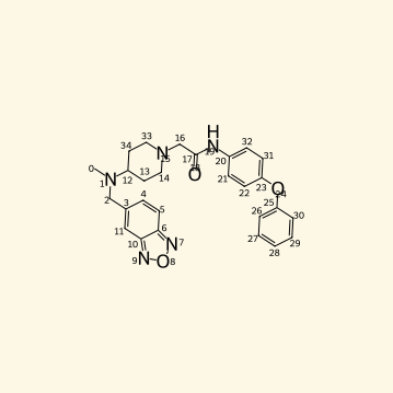 CN(Cc1ccc2nonc2c1)C1CCN(CC(=O)Nc2ccc(Oc3ccccc3)cc2)CC1